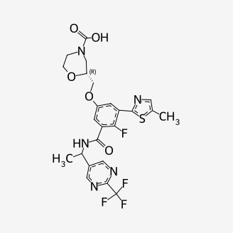 Cc1cnc(-c2cc(OC[C@H]3CN(C(=O)O)CCO3)cc(C(=O)NC(C)c3cnc(C(F)(F)F)nc3)c2F)s1